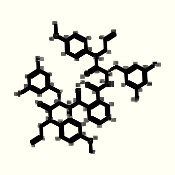 C=CCN(C(=O)[C@H](Cc1cc(F)cc(F)c1)NC(=O)c1ccncc1C(=O)N[C@@H](Cc1cc(F)cc(F)c1)C(=O)N(CC=C)c1ccc(OC)cc1)c1ccc(OC)cc1